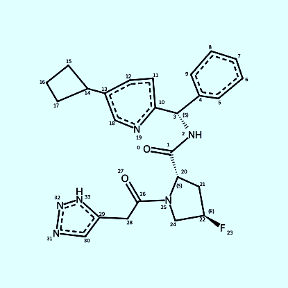 O=C(N[C@@H](c1ccccc1)c1ccc(C2CCC2)cn1)[C@@H]1C[C@@H](F)CN1C(=O)Cc1cnn[nH]1